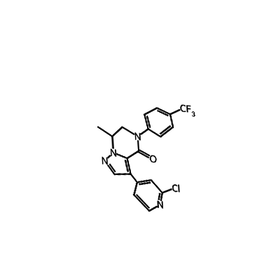 CC1CN(c2ccc(C(F)(F)F)cc2)C(=O)c2c(-c3ccnc(Cl)c3)cnn21